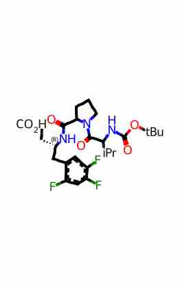 CC(C)C(NC(=O)OC(C)(C)C)C(=O)N1CCCC1C(=O)N[C@@H](CC(=O)O)Cc1cc(F)c(F)cc1F